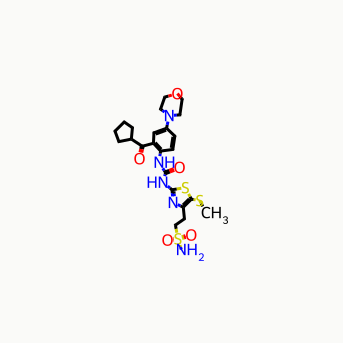 CSc1sc(NC(=O)Nc2ccc(N3CCOCC3)cc2C(=O)C2CCCC2)nc1CCS(N)(=O)=O